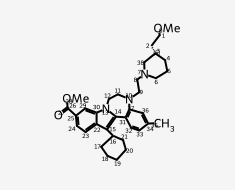 COCC[C@@H]1CCCN(CCN2CCn3c(c(C4CCCCC4)c4ccc(C(=O)OC)cc43)-c3ccc(C)cc32)C1